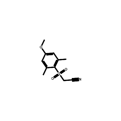 COc1cc(C)c(S(=O)(=O)CC#N)c(C)c1